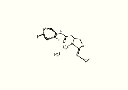 CN1/C(=N/C2CC2)SCC1CC(=O)Nc1ccc(F)cc1Cl.Cl